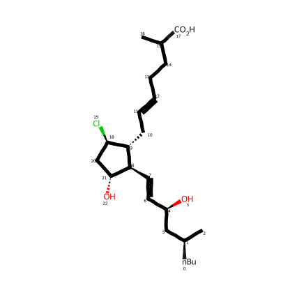 CCCC[C@H](C)C[C@H](O)C=C[C@@H]1[C@@H](CC=CCCC(C)C(=O)O)[C@H](Cl)C[C@H]1O